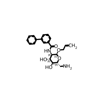 C=CCO[C@H]1O[C@H](CN)[C@@H](O)[C@H](O)[C@H]1NC(=O)c1cccc(-c2ccccc2)c1